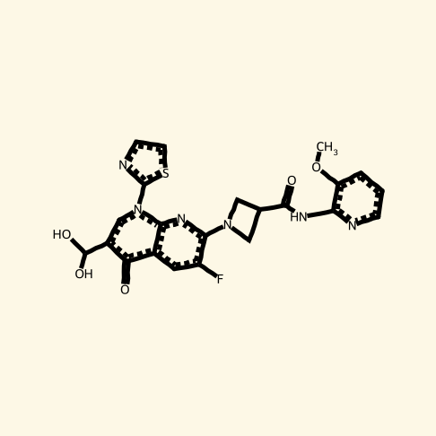 COc1cccnc1NC(=O)C1CN(c2nc3c(cc2F)c(=O)c(C(O)O)cn3-c2nccs2)C1